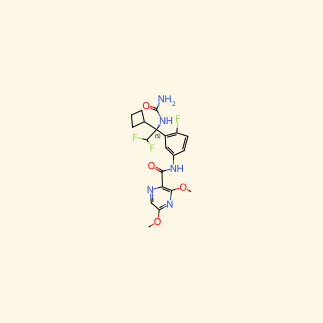 COc1cnc(C(=O)Nc2ccc(F)c([C@](NC(N)=O)(C(F)F)C3CCC3)c2)c(OC)n1